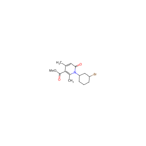 COC(=O)c1c(C)cc(=O)n(C2CCCC(Br)C2)c1C